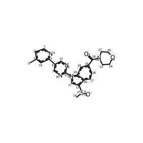 Cc1ccnc(-c2cnc(-n3cc([S+](C)[O-])c4ccc(C(=O)N5CCOCC5)cc43)nc2)c1